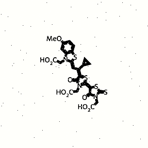 COc1ccc2c(c1)N(CC(=O)O)/C(=C/C(=c1/s/c(=C3\SC(=S)N(CC(=O)O)C3=O)n(CC(=O)O)c1=O)C1CC1)S2